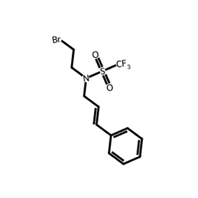 O=S(=O)(N(CC=Cc1ccccc1)CCBr)C(F)(F)F